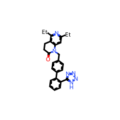 CCc1cc2c(c(CC)n1)CCC(=O)N2Cc1ccc(-c2ccccc2-c2nnn[nH]2)cc1